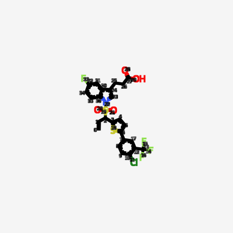 C=CC(c1ccc(-c2ccc(Cl)c(C(F)(F)F)c2)s1)S(=O)(=O)n1cc(CCC(=O)O)c2cc(F)ccc21